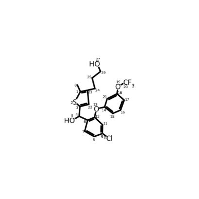 Cc1sc(C(O)c2ccc(Cl)cc2Oc2cccc(OC(F)(F)F)c2)cc1CCCO